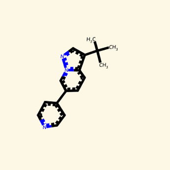 CC(C)(C)c1cnn2cc(-c3ccncc3)ccc12